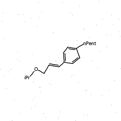 CCCCCc1ccc(C=CCOC(C)C)cc1